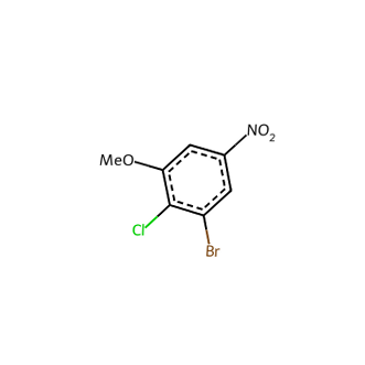 COc1cc([N+](=O)[O-])cc(Br)c1Cl